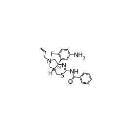 C=CCN1C[C@H]2CSC(NC(=O)c3ccccc3)=N[C@@]2(c2cc(N)ccc2F)C1